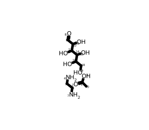 CC(=O)O.NCCN.O=CC(O)C(O)C(O)C(O)CO